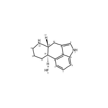 F.c1cc2c3c(c[nH]c3c1)C[C@H]1NCCC[C@H]21